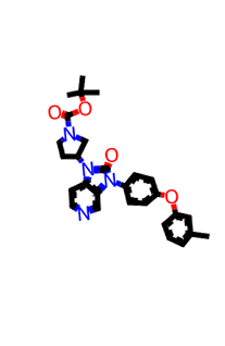 Cc1cccc(Oc2ccc(-n3c(=O)n(C4CCN(C(=O)OC(C)(C)C)C4)c4ccncc43)cc2)c1